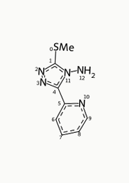 CSc1nnc(-c2ccccn2)n1N